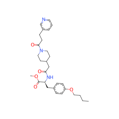 CCCCOc1ccc(C[C@H](NC(=O)CC2CCN(C(=O)CCc3cccnc3)CC2)C(=O)OC)cc1